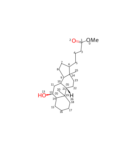 COC(=O)CCCC1CCC2C3C[C@H](O)C4CCCCC4(C)[C@H]3CCC12C